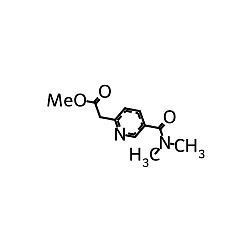 COC(=O)Cc1ccc(C(=O)N(C)C)cn1